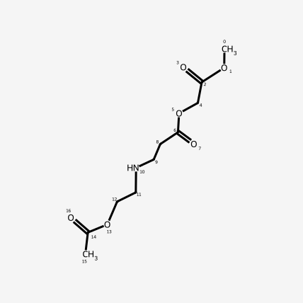 COC(=O)COC(=O)CCNCCOC(C)=O